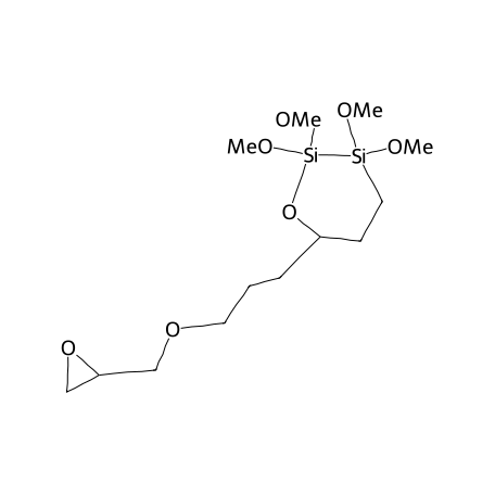 CO[Si]1(OC)CCC(CCCOCC2CO2)O[Si]1(OC)OC